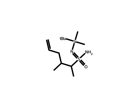 C=CCC(C)C(C)S(N)(=O)=N[Si](C)(C)C(C)(C)C